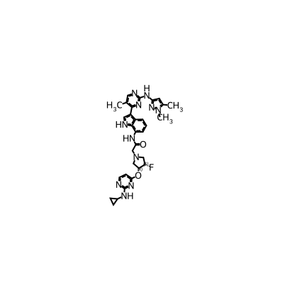 Cc1cnc(Nc2cc(C)n(C)n2)nc1-c1c[nH]c2c(NC(=O)CN3C[C@H](F)[C@H](Oc4ccnc(NC5CC5)n4)C3)cccc12